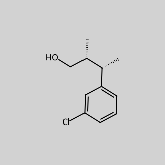 C[C@H](c1cccc(Cl)c1)[C@@H](C)CO